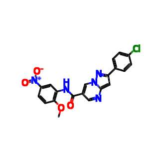 COc1ccc([N+](=O)[O-])cc1NC(=O)c1cnc2cc(-c3ccc(Cl)cc3)nn2c1